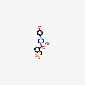 COc1ccc(N2CCN(C(=O)c3cccc4c3C=CS4(=O)=O)CC2)cc1.Cl